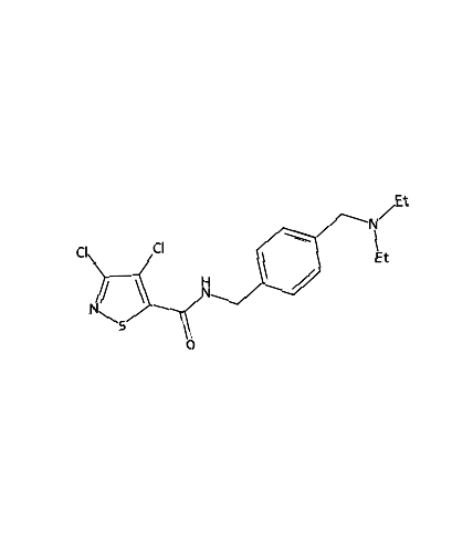 CCN(CC)Cc1ccc(CNC(=O)c2snc(Cl)c2Cl)cc1